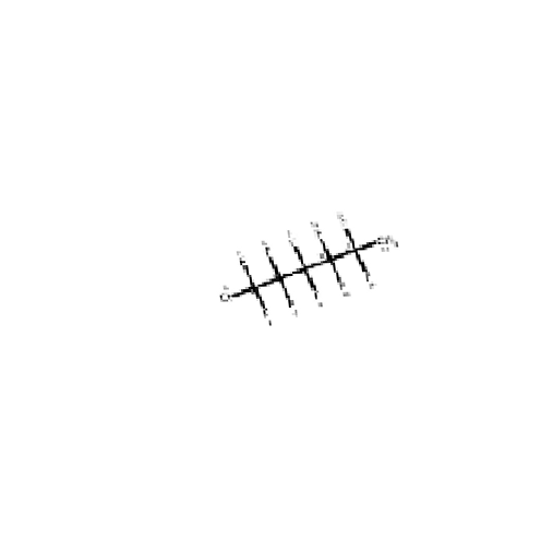 [CH2]CC(F)(F)C(F)(F)C(F)(F)C(F)(F)C(C)(F)F